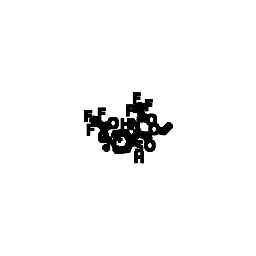 CCOC(=O)C(NC(=O)C(F)(F)F)C1(S)CC[N+](C)(OC(=O)C(F)(F)F)CC1